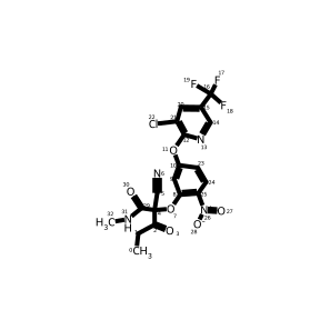 CCC(=O)C(C#N)(Oc1cc(Oc2ncc(C(F)(F)F)cc2Cl)ccc1[N+](=O)[O-])C(=O)NC